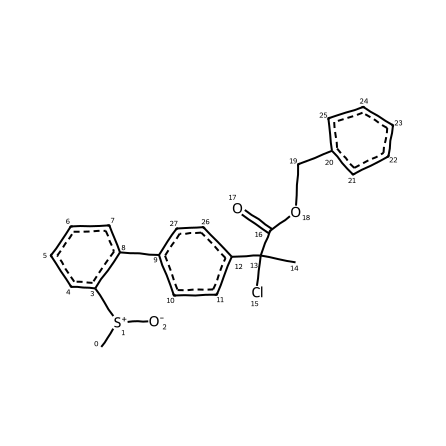 C[S+]([O-])c1ccccc1-c1ccc(C(C)(Cl)C(=O)OCc2ccccc2)cc1